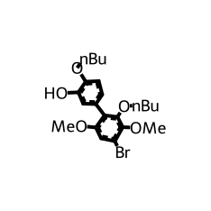 CCCCOc1ccc(-c2c(OC)cc(Br)c(OC)c2OCCCC)cc1O